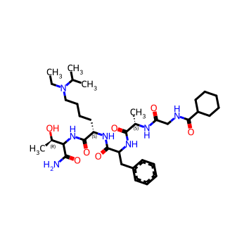 CCN(CCCC[C@H](NC(=O)C(Cc1ccccc1)NC(=O)[C@H](C)NC(=O)CNC(=O)C1CCCCC1)C(=O)NC(C(N)=O)[C@@H](C)O)C(C)C